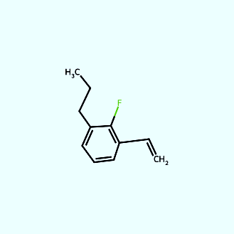 C=Cc1cccc(CCC)c1F